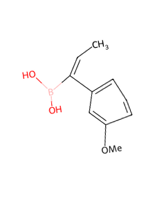 C/C=C(/B(O)O)c1cccc(OC)c1